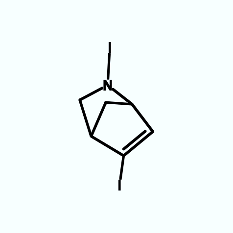 IC1=CC2CC1CN2I